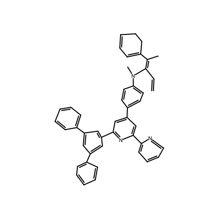 C=C/C(=C(\C)C1=CC=CCC1)N(C)c1ccc(-c2cc(-c3cc(-c4ccccc4)cc(-c4ccccc4)c3)nc(-c3ccccn3)c2)cc1